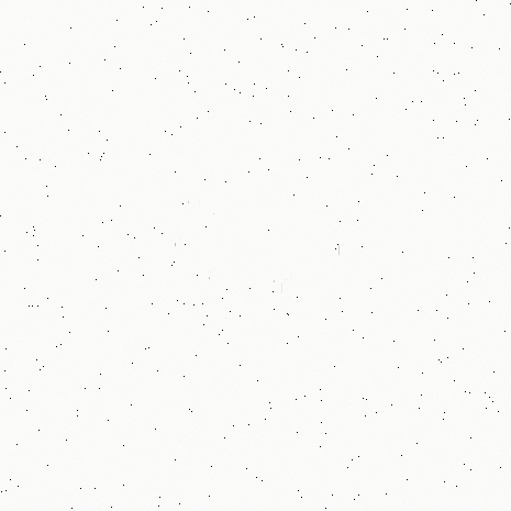 [CH2-][CH+]C1(C[OH+][CH2-])CC1